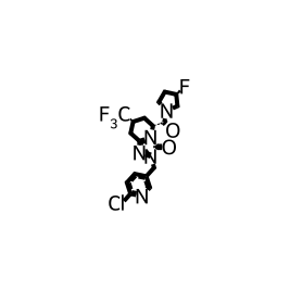 O=C([C@H]1C[C@@H](C(F)(F)F)Cc2nn(Cc3ccc(Cl)nc3)c(=O)n21)N1CC[C@@H](F)C1